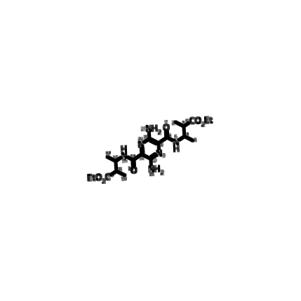 CCOC(=O)C(C)C(C)NC(=O)c1nc(N)c(C(=O)NC(C)C(C)C(=O)OCC)nc1N